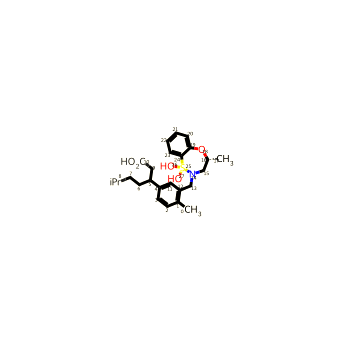 Cc1ccc(C(CCC(C)C)CC(=O)O)cc1CN1C[C@@H](C)Oc2ccccc2S1(O)O